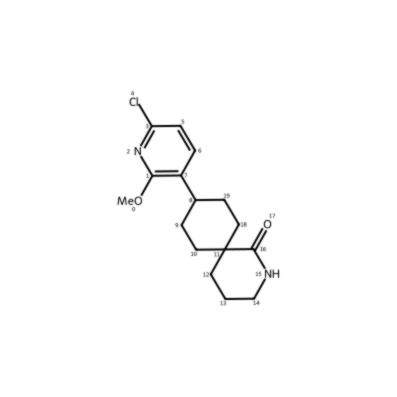 COc1nc(Cl)ccc1C1CCC2(CCCNC2=O)CC1